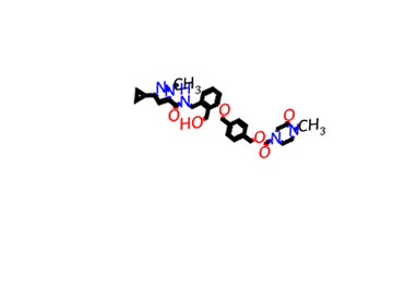 CN1CCN(C(=O)OCc2ccc(COc3cccc(CNC(=O)c4cc(C5CC5)nn4C)c3CO)cc2)CC1=O